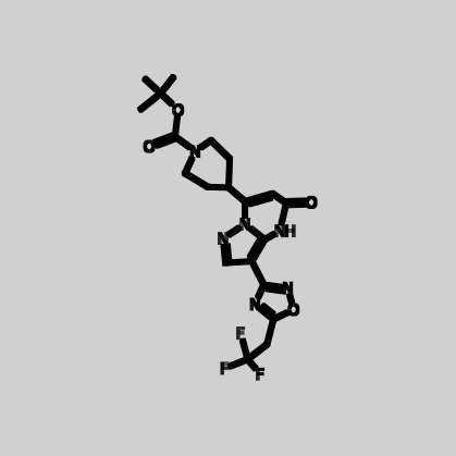 CC(C)(C)OC(=O)N1CCC(c2cc(=O)[nH]c3c(-c4noc(CC(F)(F)F)n4)cnn23)CC1